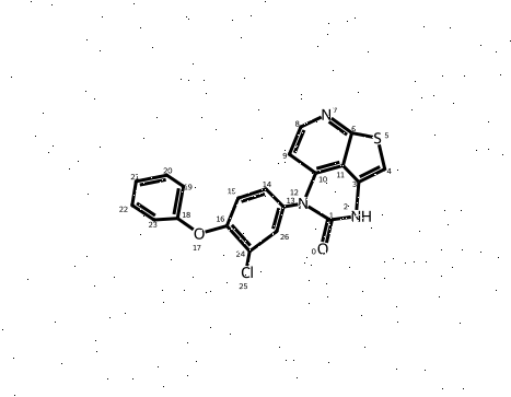 O=C1Nc2csc3nccc(c23)N1c1ccc(Oc2ccccc2)c(Cl)c1